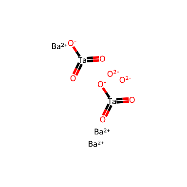 [Ba+2].[Ba+2].[Ba+2].[O-2].[O-2].[O]=[Ta](=[O])[O-].[O]=[Ta](=[O])[O-]